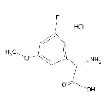 COc1cc(F)cc([C@H](N)C(=O)O)c1.Cl